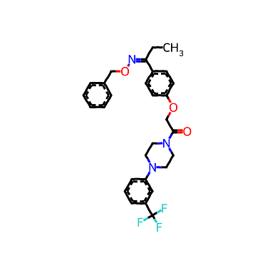 CCC(=NOCc1ccccc1)c1ccc(OCC(=O)N2CCN(c3cccc(C(F)(F)F)c3)CC2)cc1